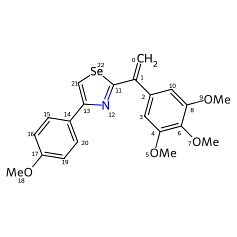 C=C(c1cc(OC)c(OC)c(OC)c1)c1nc(-c2ccc(OC)cc2)c[se]1